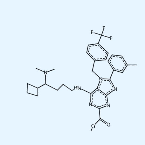 COC(=O)c1nc(NCCCC(C2CCC2)N(C)C)c2c(n1)nc(-c1cccc(C)c1)n2Cc1ccc(C(F)(F)F)cc1